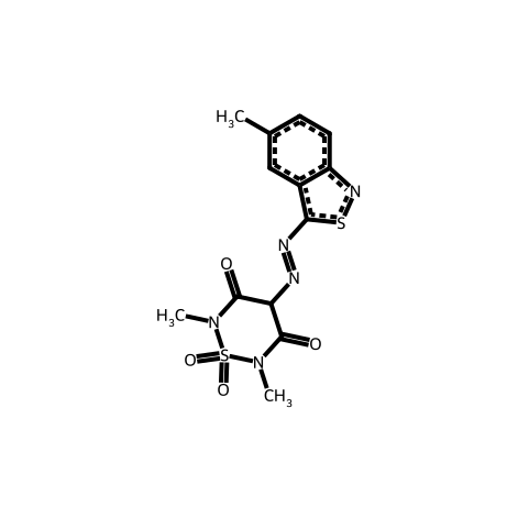 Cc1ccc2nsc(N=NC3C(=O)N(C)S(=O)(=O)N(C)C3=O)c2c1